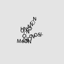 COc1ncc2c(ccn2COCC[Si](C)(C)C)c1-c1cc(C(=O)c2nc3ccc(N4CCC(N(C)C)CC4)nc3[nH]2)ccc1C#N